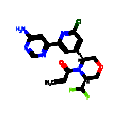 C=CC(=O)N1[C@H](c2cc(Cl)nc(-c3cc(N)ncn3)c2)COC[C@H]1C(F)F